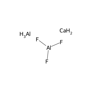 [AlH3].[CaH2].[F][Al]([F])[F]